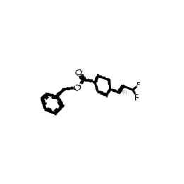 O=C(OCc1ccccc1)C1CCC(/C=C/C(F)F)CC1